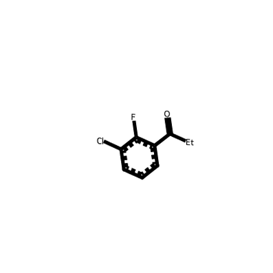 CCC(=O)c1cccc(Cl)c1F